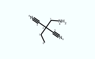 CCC(C#N)(C#N)CN